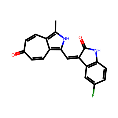 Cc1[nH]c(C=C2C(=O)Nc3ccc(F)cc32)c2ccc(=O)ccc12